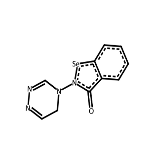 O=c1c2ccccc2[se]n1N1C=NN=CC1